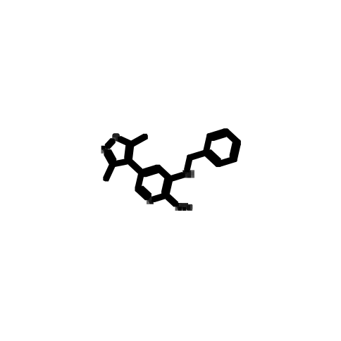 CNc1ncc(-c2c(C)noc2C)cc1NCc1ccccc1